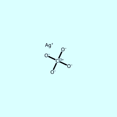 [Ag+].[O-][Cl+3]([O-])([O-])[O-]